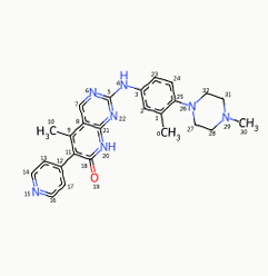 Cc1cc(Nc2ncc3c(C)c(-c4ccncc4)c(=O)[nH]c3n2)ccc1N1CCN(C)CC1